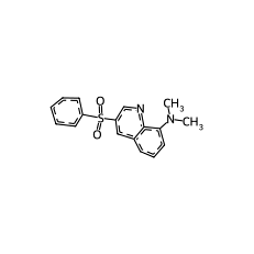 CN(C)c1cccc2cc(S(=O)(=O)c3ccccc3)cnc12